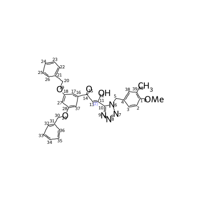 COc1ccc(Cn2nnnc2/C(O)=C/C(=O)c2cc(OCc3ccccc3)cc(OCc3ccccc3)c2)cc1C